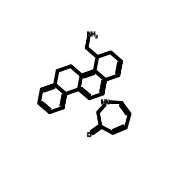 NCC1CC=Cc2ccc3c(c21)CCc1ccccc1-3.O=C1C=CC=CNC1